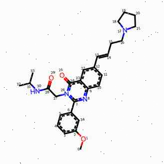 COc1cccc(-c2nc3ccc(C=CCCN4CCCC4)cc3c(=O)n2CC(=O)NC(C)C)c1